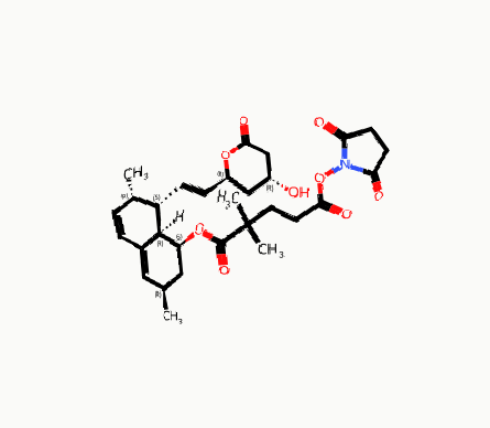 C[C@H]1C=C2C=C[C@H](C)[C@H](CC[C@@H]3C[C@@H](O)CC(=O)O3)[C@H]2[C@@H](OC(=O)C(C)(C)CCC(=O)ON2C(=O)CCC2=O)C1